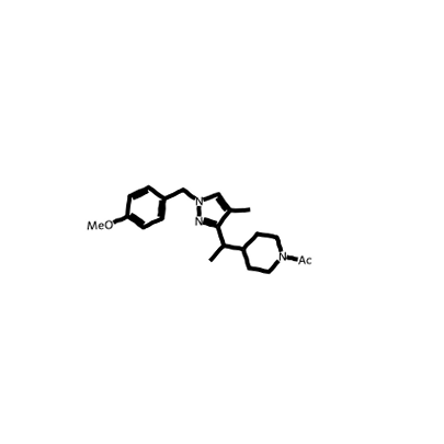 COc1ccc(Cn2cc(C)c(C(C)C3CCN(C(C)=O)CC3)n2)cc1